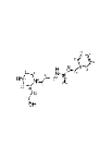 O=C(NCCCN1CCNCC1CCO)OCc1ccccc1